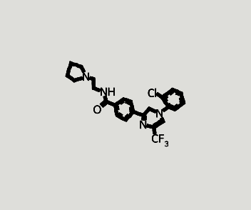 O=C(NCCN1CCCC1)c1ccc(C2=NC(C(F)(F)F)=CN(c3ccccc3Cl)C2)cc1